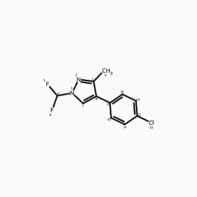 Cc1nn(C(F)F)cc1-c1ccc(Cl)cc1